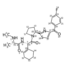 CN[C@@H](C)C(=O)N[C@H](C(=O)N1CCC[C@H]1c1nc(C(=O)c2ccc(F)cc2)cs1)C1=CCCCC1